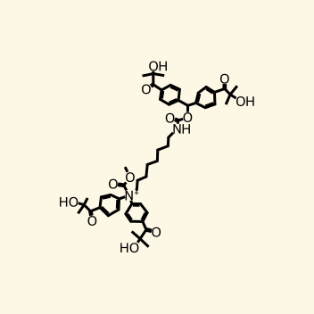 COC(=O)[N+](CCCCCCCCNC(=O)OC(c1ccc(C(=O)C(C)(C)O)cc1)c1ccc(C(=O)C(C)(C)O)cc1)(c1ccc(C(=O)C(C)(C)O)cc1)c1ccc(C(=O)C(C)(C)O)cc1